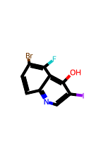 Oc1c(I)cnc2ccc(Br)c(F)c12